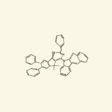 CC1(C)c2cc(-c3ccccc3)c(-c3ccccc3)cc2-c2nc(-c3ccccc3)nc(-n3c4ccccc4c4cc5ccccc5cc43)c21